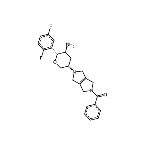 N[C@H]1C[C@@H](N2CC3=C(CN(C(=O)c4ccccc4)C3)C2)CO[C@@H]1c1cc(F)ccc1F